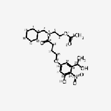 CC(=O)OCCN(CC1CCCCC1)C(=O)CCCOc1cc(Cl)c([N+](=O)[O-])c(C(C)O)c1